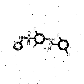 N[C@H](Nc1cc(F)c(S(=O)(=O)Nc2cscn2)c(F)c1)c1cc(Cl)ccc1F